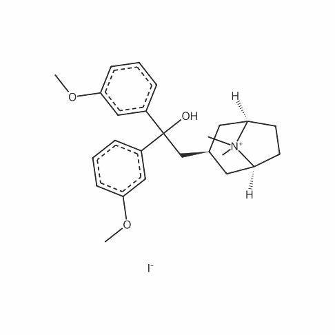 COc1cccc(C(O)(C[C@H]2C[C@H]3CC[C@@H](C2)[N+]3(C)C)c2cccc(OC)c2)c1.[I-]